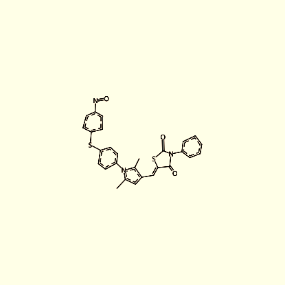 Cc1cc(C=C2SC(=O)N(c3ccccc3)C2=O)c(C)n1-c1ccc(Sc2ccc(N=O)cc2)cc1